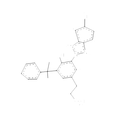 CC(C)(c1ccccc1)c1cc(CCC(=O)O)cc(-n2nc3ccc(C(F)(F)F)cc3n2)c1O